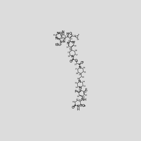 CC(C)(C)n1nc(-c2noc(C3CC3)c2-c2ncc(C3CCN(C(=O)OCC(=O)N4CCC(CCN5CCN(c6c(F)cc(NC7CCC(=O)NC7=O)cc6F)CC5)CC4)CC3)cn2)c2c(N)ncnc21